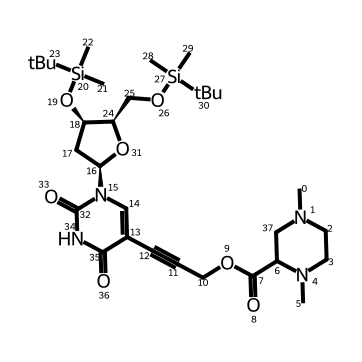 CN1CCN(C)C(C(=O)OCC#Cc2cn([C@H]3C[C@@H](O[Si](C)(C)C(C)(C)C)[C@@H](CO[Si](C)(C)C(C)(C)C)O3)c(=O)[nH]c2=O)C1